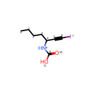 CCCC[C](C#CI)NC(=O)O